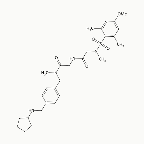 COc1cc(C)c(S(=O)(=O)N(C)CC(=O)NCC(=O)N(C)Cc2ccc(CNC3CCCC3)cc2)c(C)c1